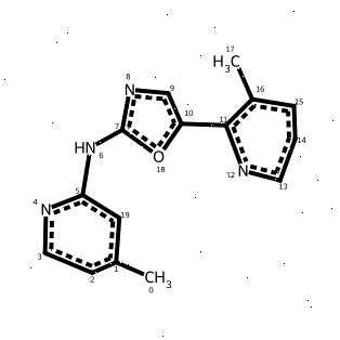 Cc1ccnc(Nc2ncc(-c3ncccc3C)o2)c1